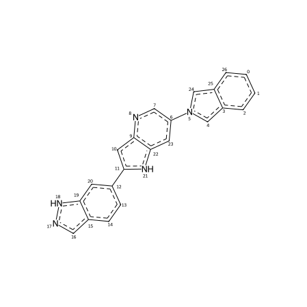 c1ccc2cn(-c3cnc4cc(-c5ccc6cn[nH]c6c5)[nH]c4c3)cc2c1